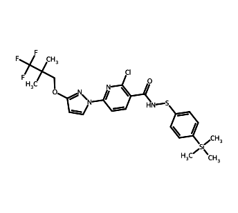 CC(C)(COc1ccn(-c2ccc(C(=O)NSc3ccc([Si](C)(C)C)cc3)c(Cl)n2)n1)C(F)(F)F